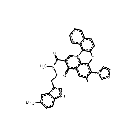 COc1ccc2[nH]cc(CCN(C)C(=O)c3cn4c5c(c(-n6ccnc6)c(F)cc5c3=O)Oc3ccc5ccccc5c3-4)c2c1